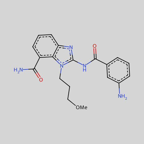 COCCCn1c(NC(=O)c2cccc(N)c2)nc2cccc(C(N)=O)c21